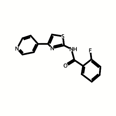 O=C(Nc1nc(-c2ccncc2)cs1)c1ccccc1F